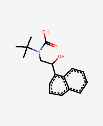 CC(C)(C)N(CC(O)c1cccc2ccccc12)C(=O)O